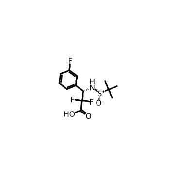 CC(C)(C)[S@+]([O-])N[C@@H](c1cccc(F)c1)C(F)(F)C(=O)O